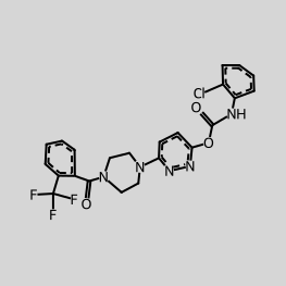 O=C(Nc1ccccc1Cl)Oc1ccc(N2CCN(C(=O)c3ccccc3C(F)(F)F)CC2)nn1